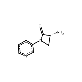 N[C@@H]1CN(c2cccnc2)C1=O